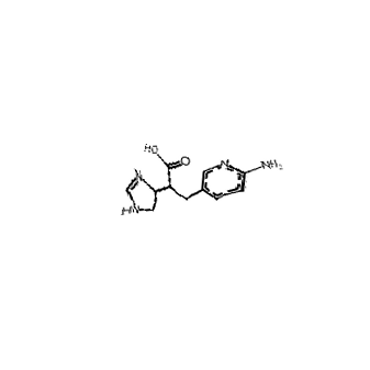 Nc1ccc(CC(C(=O)O)C2CNC=N2)cn1